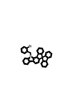 Brc1ccccc1Cn1c2ccccc2c2ccc3c(c21)-c1ccccc1C31c2ccccc2-c2ccccc21